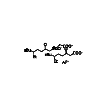 CC(=O)CC(=O)[O-].CCCCC(CC)CCC(=O)CC(=O)[O-].CCCCC(CC)CCC(=O)CC(=O)[O-].[Al+3]